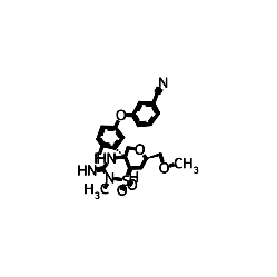 COC[C@H]1C[C@@H]2[C@](c3cc(Oc4cccc(C#N)c4)ccc3F)(CO1)NC(=N)N(C)S2(=O)=O